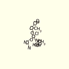 Cc1c(COc2cc(OCc3cncc(C#N)c3)c(CNC(C)(CO)C(=O)O)cc2Cl)cccc1-c1ccc2occc2c1